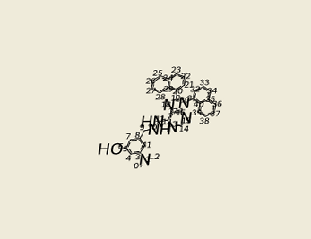 CN(C)c1cc(O)cc(CNNc2ncnc3c2nc(-c2cccc4ccccc24)n3-c2cccc3ccccc23)c1